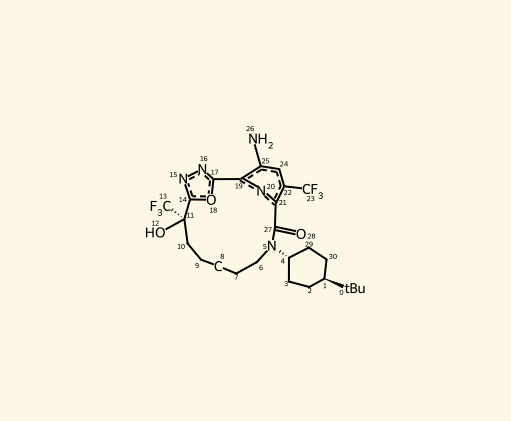 CC(C)(C)[C@H]1CC[C@H](N2CCCCC[C@](O)(C(F)(F)F)c3nnc(o3)-c3nc(c(C(F)(F)F)cc3N)C2=O)CC1